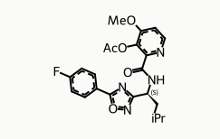 COc1ccnc(C(=O)N[C@@H](CC(C)C)c2noc(-c3ccc(F)cc3)n2)c1OC(C)=O